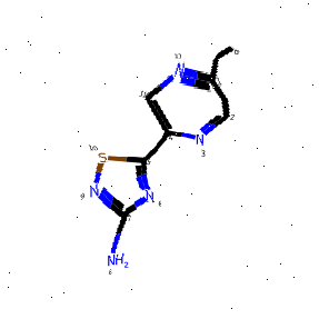 Cc1cnc(-c2nc(N)ns2)cn1